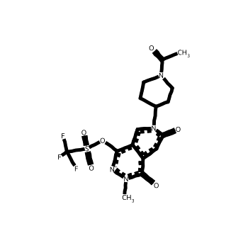 CC(=O)N1CCC(n2cc3c(OS(=O)(=O)C(F)(F)F)nn(C)c(=O)c3cc2=O)CC1